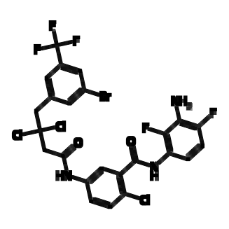 Nc1c(F)ccc(NC(=O)c2cc(NC(=O)CC(Cl)(Cl)Cc3cc(Br)cc(C(F)(F)F)c3)ccc2Cl)c1F